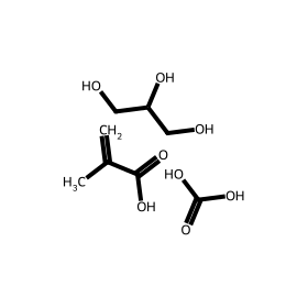 C=C(C)C(=O)O.O=C(O)O.OCC(O)CO